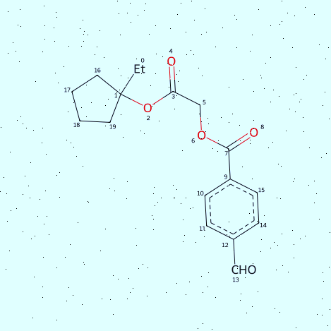 CCC1(OC(=O)COC(=O)c2ccc(C=O)cc2)CCCC1